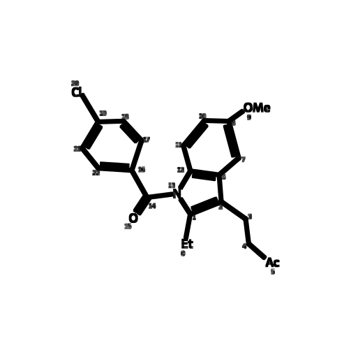 CCc1c(CCC(C)=O)c2cc(OC)ccc2n1C(=O)c1ccc(Cl)cc1